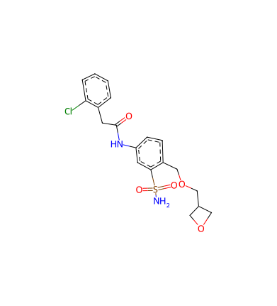 NS(=O)(=O)c1cc(NC(=O)Cc2ccccc2Cl)ccc1COCC1COC1